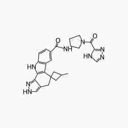 CC1CC2(Cc3c[nH]nc3-c3[nH]c4ccc(C(=O)NC5CCN(C(=O)c6nnc[nH]6)C5)cc4c32)C1